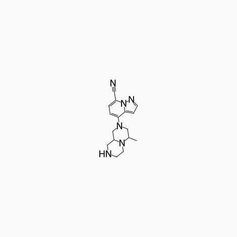 CC1CN(c2ccc(C#N)n3nccc23)CC2CNCCN12